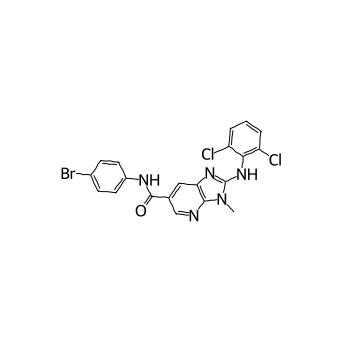 Cn1c(Nc2c(Cl)cccc2Cl)nc2cc(C(=O)Nc3ccc(Br)cc3)cnc21